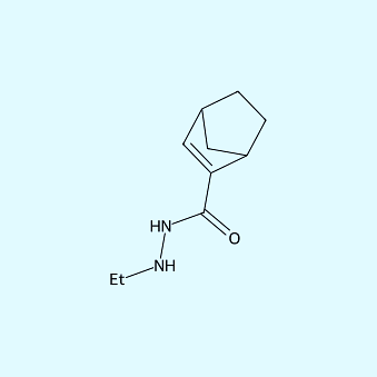 CCNNC(=O)C1=CC2CCC1C2